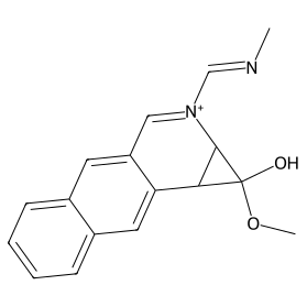 CN=C[N+]1=Cc2cc3ccccc3cc2C2C1C2(O)OC